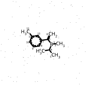 C=C(B(C)C(C)C)c1cccc(C)c1